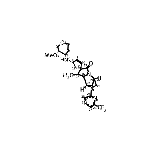 CO[C@@H]1COCC[C@@H]1N[C@@H]1C=C[C@@]2(C1)C(=O)N1C(C2C)[C@@H]2C[C@H]1CN2c1cncc(C(F)(F)F)n1